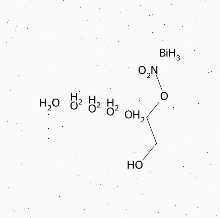 O.O.O.O.O.O=[N+]([O-])OCCO.[BiH3]